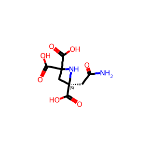 NC(=O)C[C@]1(C(=O)O)CC(C(=O)O)(C(=O)O)N1